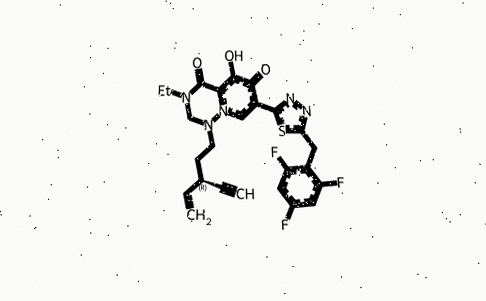 C#C[C@@H](C=C)CCN1CN(CC)C(=O)c2c(O)c(=O)c(-c3nnc(Cc4c(F)cc(F)cc4F)s3)cn21